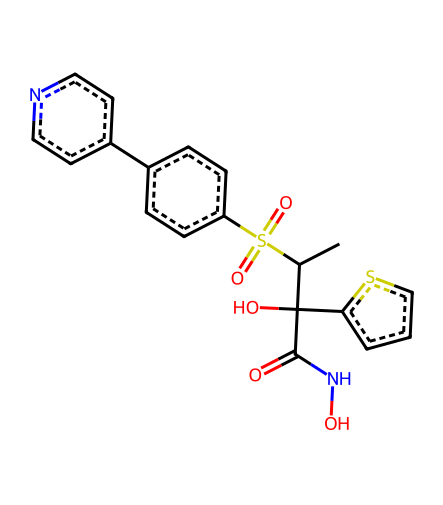 CC(C(O)(C(=O)NO)c1cccs1)S(=O)(=O)c1ccc(-c2ccncc2)cc1